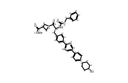 CC[C@H]1CC[C@H](c2ccc(-c3cnc(-c4ccc(C[C@H](NC(=O)OCc5ccccc5)C(=O)N5CC(C(=O)SC)C5)cc4)nc3)cc2)CC1